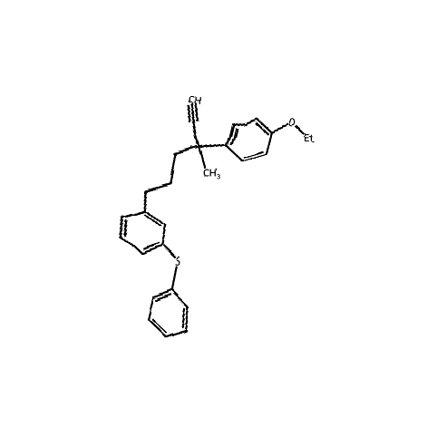 C#CC(C)(CCCc1cccc(Sc2ccccc2)c1)c1ccc(OCC)cc1